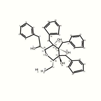 I.OC(Cc1ccccc1)[C@H]1O[C@@H](CP)[C@@](O)(Cc2ccccc2)[C@](O)(Cc2ccccc2)[C@]1(O)Cc1ccccc1